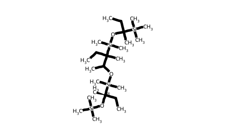 CCC(C)(O[Si](C)(C)C(C)(CC)C(C)O[Si](C)(C)[C@](C)(CC)O[Si](C)(C)C)[Si](C)(C)C